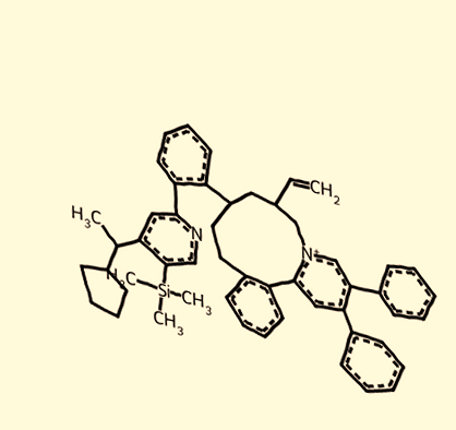 C=CC1CC(c2ccccc2-c2cc(C(C)C3CCCC3)c([Si](C)(C)C)cn2)CCc2ccccc2-c2cc(-c3ccccc3)c(-c3ccccc3)c[n+]2C1